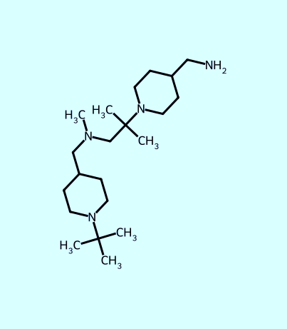 CN(CC1CCN(C(C)(C)C)CC1)CC(C)(C)N1CCC(CN)CC1